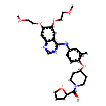 COCCOc1cc2ncnc(Nc3ccc(OC4CCN(C(=O)C5CCCO5)CC4)c(C)c3)c2cc1OCCOC